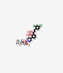 CC(C)(C)OC(=O)N1CCC(c2cccc(C(O)C=Cc3ccc(Cl)cc3F)c2O)CC1